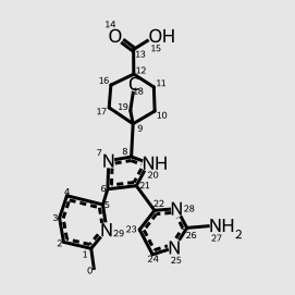 Cc1cccc(-c2nc(C34CCC(C(=O)O)(CC3)CC4)[nH]c2-c2ccnc(N)n2)n1